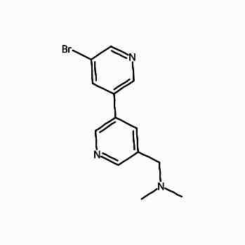 CN(C)Cc1cncc(-c2cncc(Br)c2)c1